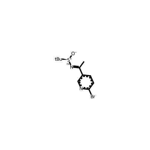 CC(=N[S@+]([O-])C(C)(C)C)c1ccc(Br)nc1